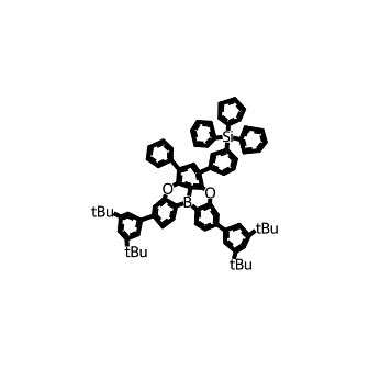 CC(C)(C)c1cc(-c2ccc3c(c2)Oc2c(-c4ccccc4)cc(-c4cccc([Si](c5ccccc5)(c5ccccc5)c5ccccc5)c4)c4c2B3c2ccc(-c3cc(C(C)(C)C)cc(C(C)(C)C)c3)cc2O4)cc(C(C)(C)C)c1